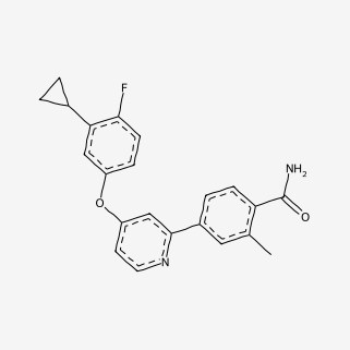 Cc1cc(-c2cc(Oc3ccc(F)c(C4CC4)c3)ccn2)ccc1C(N)=O